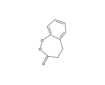 O=C1CCc2ccccc2OO1